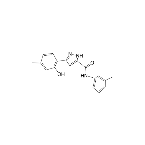 Cc1cccc(NC(=O)c2cc(-c3ccc(C)cc3O)n[nH]2)c1